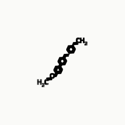 C=CCOCc1ccc(C2CCC(CC[C@H]3CC[C@H](CC=C)CC3)CC2)cc1